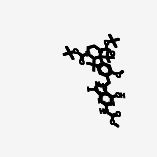 COC(=O)Nc1nc(O)c2c(n1)c(I)nn2Cc1ccc(C2(C(C)(C)C)C(C(C)(C)C)N(C(=O)OC(C)(C)C)CCN2C(=O)OC(C)(C)C)cc1OC